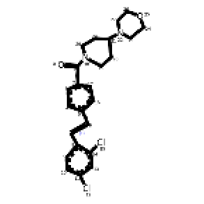 O=C(c1ccc(/C=C/c2ccc(Cl)cc2Cl)cc1)N1CCC(N2CCOCC2)CC1